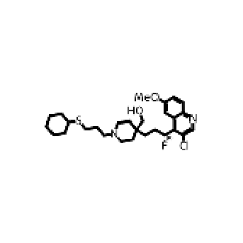 COc1ccc2ncc(Cl)c([C@H](F)CCC3(CO)CCN(CCCSC4CCCCC4)CC3)c2c1